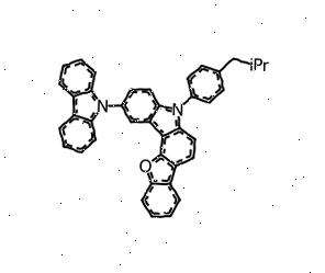 CC(C)Cc1ccc(-n2c3ccc(-n4c5ccccc5c5ccccc54)cc3c3c4oc5ccccc5c4ccc32)cc1